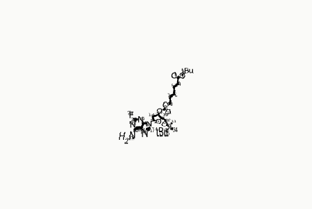 CC(C)(C)OC(=O)CCCCCOC(=O)O[C@H]1C[C@H](n2cnc3c(N)nc(F)nc32)O[C@]1(C)CO[Si](C)(C)C(C)(C)C